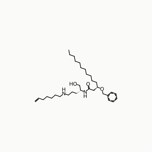 C=CCCCCCNCCC[C@H](CO)NC(=O)C[C@@H](CCCCCCCCCCC)OCc1ccccc1